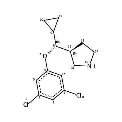 Clc1cc(Cl)cc(O[C@H](C2CC2)[C@H]2CCNC2)c1